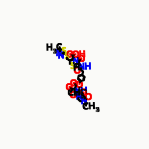 CCN1CCN(C(=O)NC(C(C)=O)C(=O)Oc2ccc(CC(=O)NC3C(=O)N4C(C(=O)O)=C(CSc5nnc(C)s5)CS[C@@H]34)cc2)C(=O)C1=O